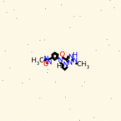 CCNc1ncc2c(n1)N1CCC[C@H]1CN(c1cccc(-c3noc(C)n3)c1)C2=O